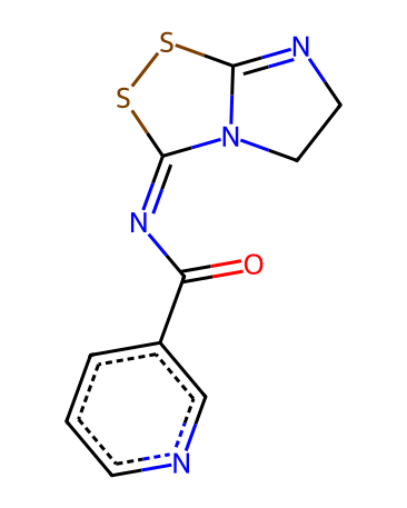 O=C(/N=C1/SSC2=NCCN21)c1cccnc1